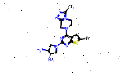 CCCc1cc2c(N3CCn4c(nnc4C(F)(F)F)C3)nc(N3CC(N)C(N)C3)nc2s1